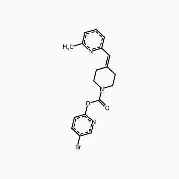 Cc1cccc(C=C2CCN(C(=O)Oc3ccc(Br)cn3)CC2)n1